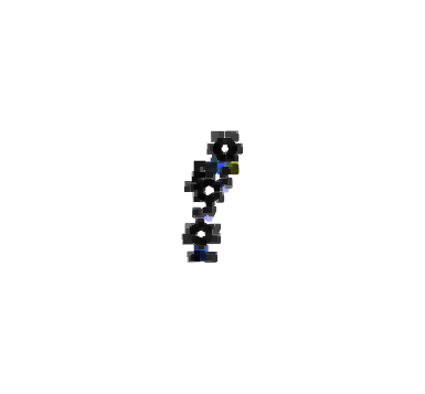 CC[n+]1c(/C=C2C=C(/C=C/c3ccc(N(C)C)cc3)CC(C)(C)C/2)sc2ccccc21